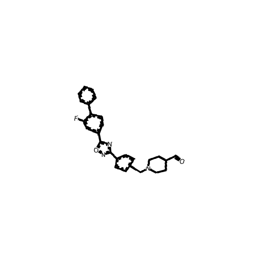 O=CC1CCN(Cc2ccc(-c3noc(-c4ccc(-c5ccccc5)c(F)c4)n3)cc2)CC1